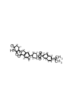 CN(C)c1ccc2cc(S(=O)(=O)N3CCC(c4cc5c(cc4F)C(=O)N(C4CCC(=O)NC4=O)C5)CC3)ccc2c1